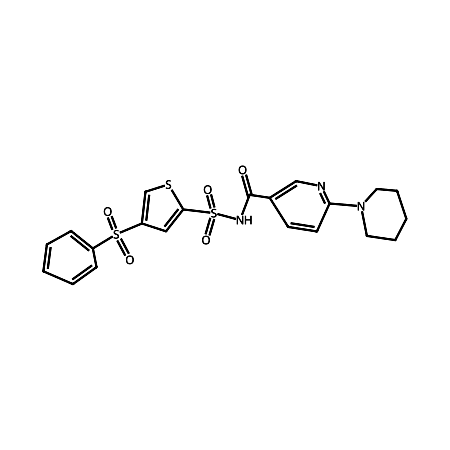 O=C(NS(=O)(=O)c1cc(S(=O)(=O)c2ccccc2)cs1)c1ccc(N2CCCCC2)nc1